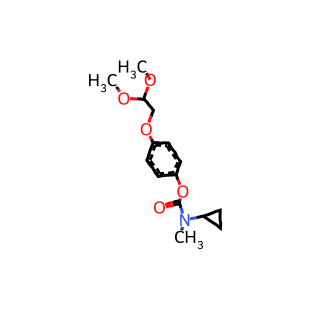 COC(COc1ccc(OC(=O)N(C)C2CC2)cc1)OC